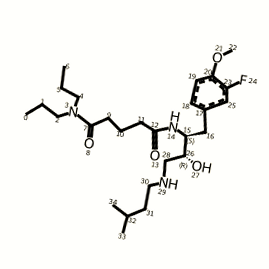 CCCN(CCC)C(=O)CCCC(=O)N[C@@H](Cc1ccc(OC)c(F)c1)[C@H](O)CNCCC(C)C